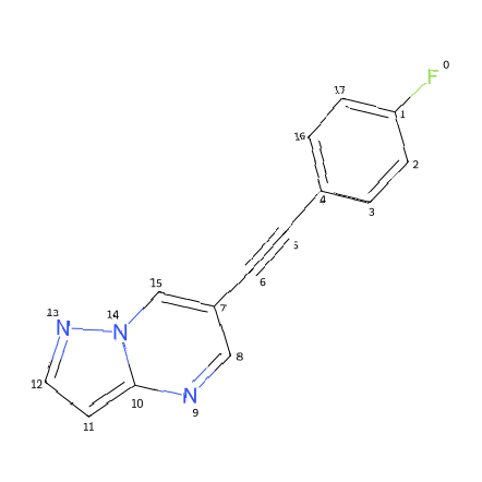 Fc1ccc(C#Cc2cnc3ccnn3c2)cc1